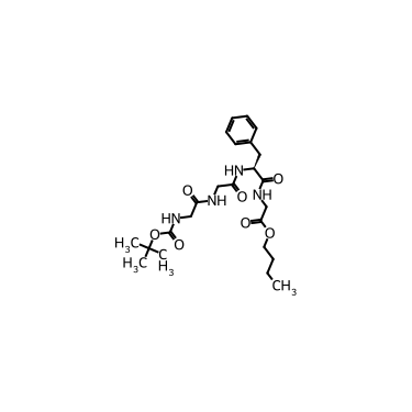 CCCCOC(=O)CNC(=O)[C@H](Cc1ccccc1)NC(=O)CNC(=O)CNC(=O)OC(C)(C)C